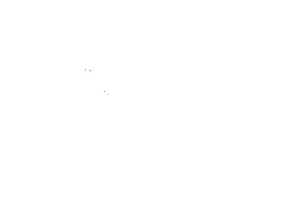 CON=CCc1sccc1Cl